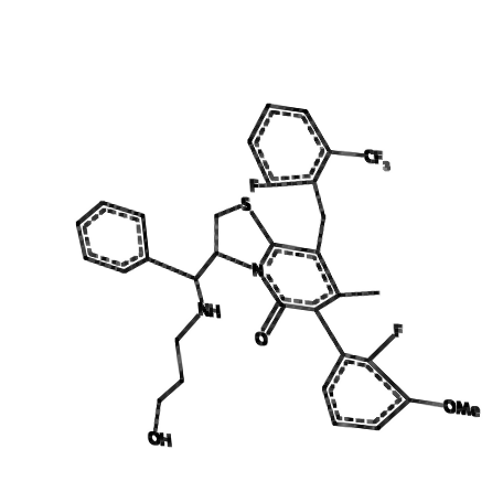 COc1cccc(-c2c(C)c(Cc3c(F)cccc3C(F)(F)F)c3n(c2=O)C(C(NCCCO)c2ccccc2)CS3)c1F